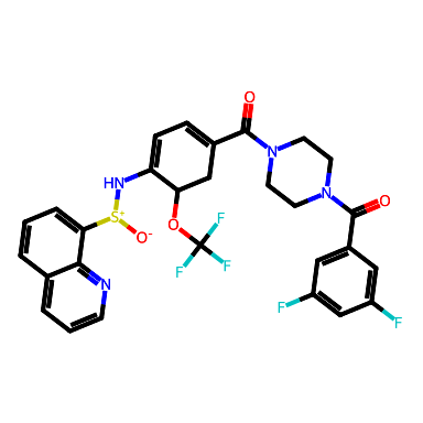 O=C(C1=CC=C(N[S+]([O-])c2cccc3cccnc23)C(OC(F)(F)F)C1)N1CCN(C(=O)c2cc(F)cc(F)c2)CC1